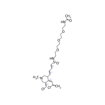 C=C(Cl)/C=C1\C(=C\Cl)CN(C)CC1/C=C/C=C/[S+]([O-])NCCOCCOCCOCCNC(C)=O